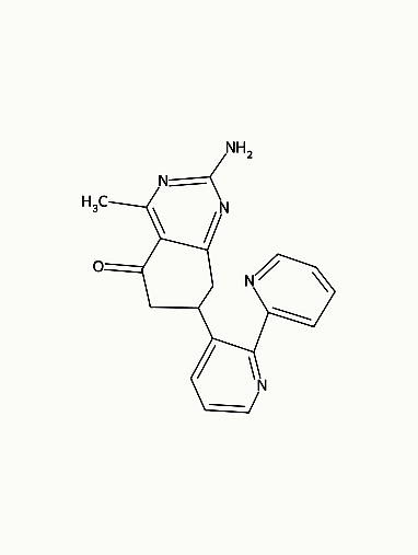 Cc1nc(N)nc2c1C(=O)CC(c1cccnc1-c1ccccn1)C2